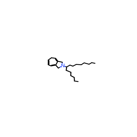 CCCCCCCCC(CCCCCC)N1CC2=CC=CCC=C2C1